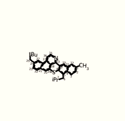 Cc1ccc2c(CC(C)C)c3c(cc2c1)-c1nccc2c1c(cc1ccc(CC(C)(C)C)cc12)S3